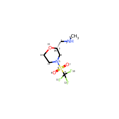 CNC[C@@H]1CN(S(=O)(=O)C(F)(F)F)CCO1